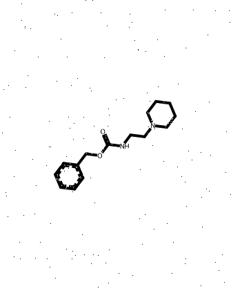 O=C(NCCN1CCCCC1)OCc1ccccc1